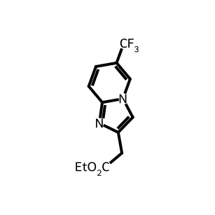 CCOC(=O)Cc1cn2cc(C(F)(F)F)ccc2n1